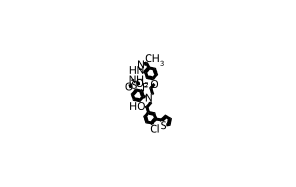 Cc1n[nH]c2cc(OCCN(C[C@H](O)c3ccc(Cl)c(-c4cccs4)c3)c3cccc(S(N)(=O)=O)c3F)ccc12